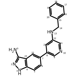 Nc1n[nH]c2ccc(-c3cncc(NCc4ccccc4)c3)cc12